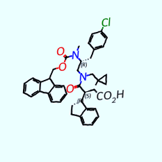 CN(C(=O)OCC1c2ccccc2-c2ccccc21)[C@H](Cc1ccc(Cl)cc1)CN(CC1(C)CC1)C(=O)[C@@H](CC(=O)O)[C@H]1CCc2ccccc21